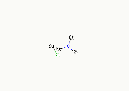 CCN(CC)CC.[Cl][Cu]